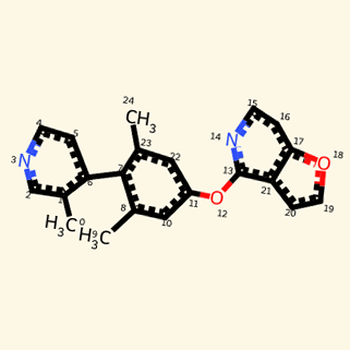 Cc1cnccc1-c1c(C)cc(Oc2nccc3occc23)cc1C